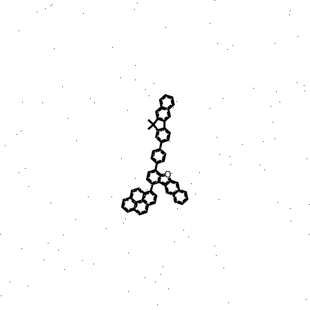 CC1(C)c2cc(-c3ccc(-c4ccc(-c5ccc6ccc7cccc8ccc5c6c78)c5c4oc4cc6ccccc6cc45)cc3)ccc2-c2cc3ccccc3cc21